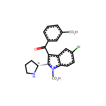 O=C(O)c1cccc(C(=O)c2c([C@H]3CCCN3)n(C(=O)O)c3ccc(Br)cc23)c1